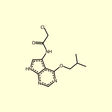 CC(C)COc1ncnc2[nH]cc(NC(=O)CCl)c12